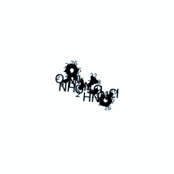 NC(=O)c1nn(CC(=O)N(CC(=O)Nc2cccc(Cl)n2)C2CC2)c2ccccc12